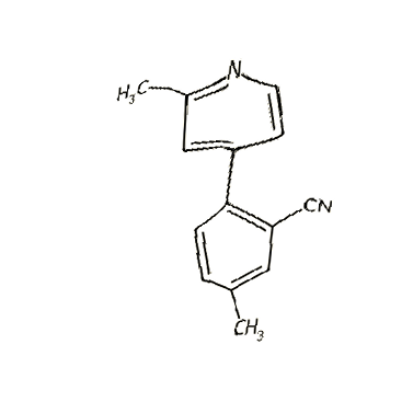 Cc1ccc(-c2ccnc(C)c2)c(C#N)c1